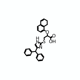 O=C(O)C(CSc1nc(C(c2ccccc2)c2ccccc2)c[nH]1)Oc1cccc2c1CCC=C2